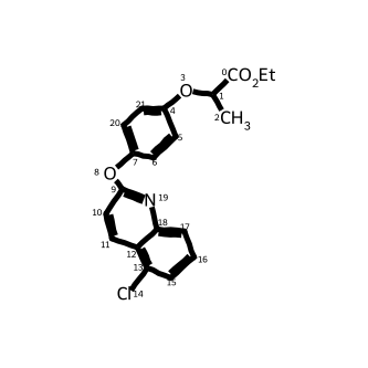 CCOC(=O)C(C)Oc1ccc(Oc2ccc3c(Cl)cccc3n2)cc1